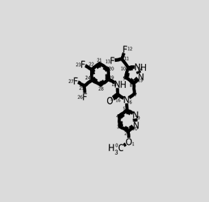 COc1ccc(N(Cc2cc(C(F)F)[nH]n2)C(=O)Nc2ccc(F)c(C(F)F)c2)nn1